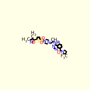 Cc1noc(-c2ccc(S(=O)(=O)N3CCN(CC(C)Nc4ncnc5c(C(=O)N6CCC[C@H]6C(F)(F)F)cccc45)CC3)s2)c1C